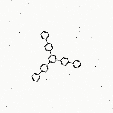 c1ccc(-c2ccc(-c3cc(-c4ccc(-c5ccccc5)cc4)cc(-c4ccc(-c5ccccc5)cc4)c3)cc2)cc1